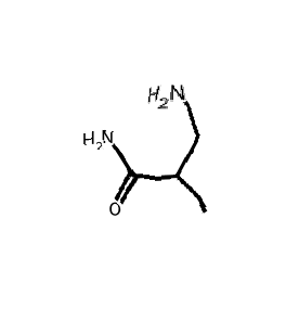 C[C](CN)C(N)=O